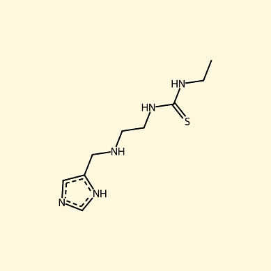 CCNC(=S)NCCNCc1cnc[nH]1